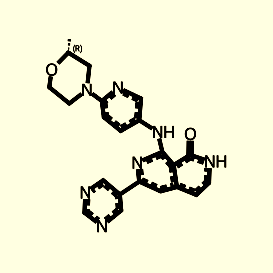 C[C@@H]1CN(c2ccc(Nc3nc(-c4cncnc4)cc4cc[nH]c(=O)c34)cn2)CCO1